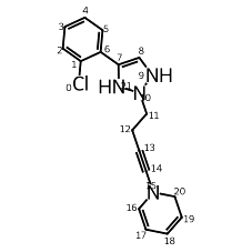 Clc1ccccc1C1=CNN(CCC#CN2C=CC=CC2)N1